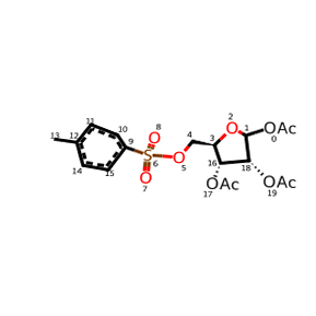 CC(=O)OC1O[C@H](COS(=O)(=O)c2ccc(C)cc2)[C@@H](OC(C)=O)[C@H]1OC(C)=O